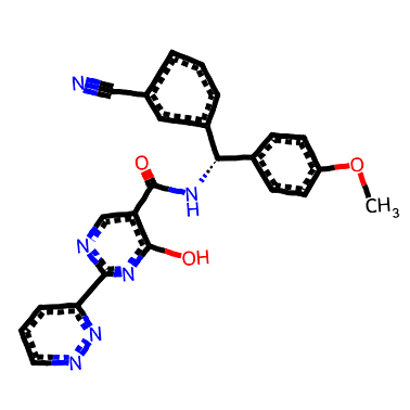 COc1ccc([C@H](NC(=O)c2cnc(-c3cccnn3)nc2O)c2cccc(C#N)c2)cc1